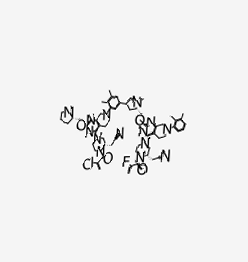 C=C(F)C(=O)N1CCN(c2nc(OC[C@@H]3CC(c4cc(C)c(C)c(N5CCc6c(nc(OC[C@@H]7CCCN7C)nc6N6CCN(C(=O)C(=C)Cl)[C@@H](CC#N)C6)C5)c4)CN3C)nc3c2CCN(c2cccc(C)c2C)C3)C[C@@H]1CC#N